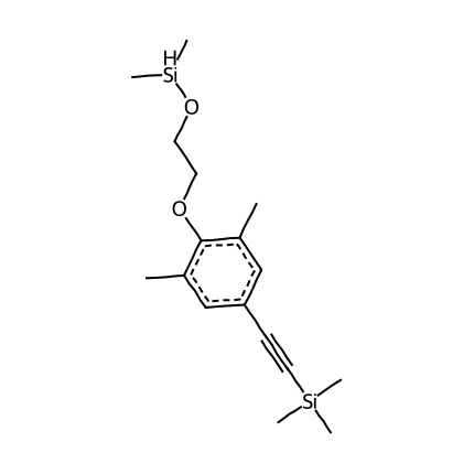 Cc1cc(C#C[Si](C)(C)C)cc(C)c1OCCO[SiH](C)C